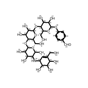 CC1OC(OC2C(CO)OC(OC3C(CO)OC(Oc4ccc(C=O)cc4)C(O)C3O)C(O)C2O)C(O)C(O)C1NC1C=C(CO)C(O)C(O)C1O